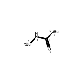 CC[C@H](C)C(=O)NC(C)(C)C